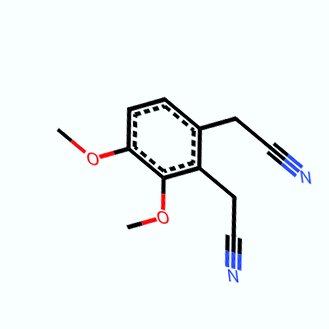 COc1ccc(CC#N)c(CC#N)c1OC